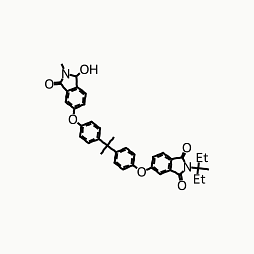 CCC(C)(CC)N1C(=O)c2ccc(Oc3ccc(C(C)(C)c4ccc(Oc5ccc6c(c5)C(=O)N(C)C6O)cc4)cc3)cc2C1=O